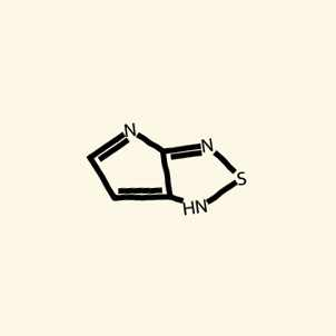 c1cc2[nH]snc-2n1